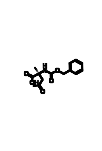 CC(=O)C[C@](C)(NC(=O)OCc1ccccc1)C(=O)O